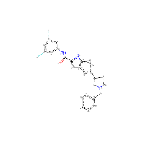 O=C(Nc1cc(F)cc(F)c1)c1cc2cc(C3CCN(Cc4ccccc4)C3)ccc2[nH]1